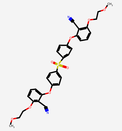 COCCOc1cccc(Oc2ccc(S(=O)(=O)c3ccc(Oc4cccc(OCCOC)c4C#N)cc3)cc2)c1C#N